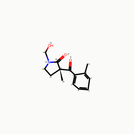 Cc1ccccc1C(=O)[C@]1(C)CCN(CO)C1=O